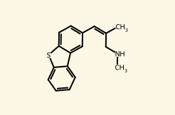 CNCC(C)=Cc1ccc2sc3ccccc3c2c1